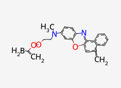 BC(=C)OOCCN(C)c1ccc2c(c1)Oc1cc(=C)c3ccccc3c1=N2